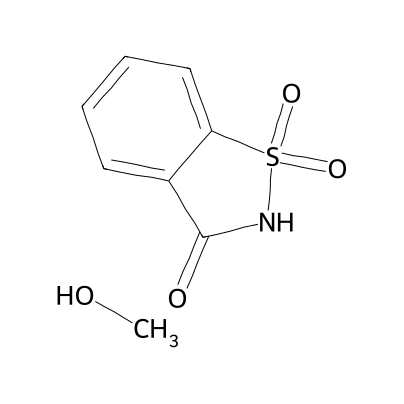 CO.O=C1NS(=O)(=O)c2ccccc21